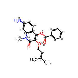 CC(C)=CCOc1c(OC(=O)c2ccccc2)c2ccc(N)cc2n(C)c1=O